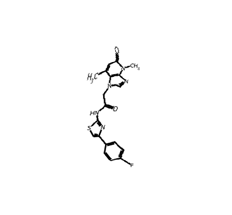 Cc1cc(=O)n(C)c2ncn(CC(=O)Nc3nc(-c4ccc(F)cc4)cs3)c12